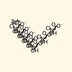 O=C([O-])CN(O)Cl.O=C([O-])CN(O)Cl.O=C([O-])CN(O)Cl.O=C([O-])CN(O)Cl.O=C([O-])CN(O)Cl.O=C([O-])CN(O)Cl.O=C([O-])CN(O)Cl.[Al+3].[Zr+4]